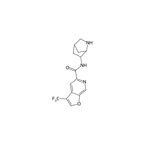 O=C(NC1CC2CNC1C2)c1cc2c(C(F)(F)F)coc2cn1